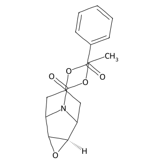 CCOC(=O)N1C2CC(OC(=O)c3ccccc3)CC1[C@H]1OC21